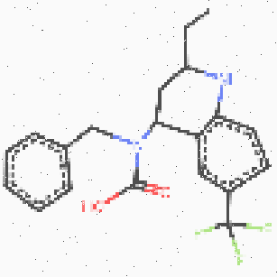 CCC1CC(N(Cc2ccccc2)C(=O)O)c2cc(C(F)(F)F)ccc2N1